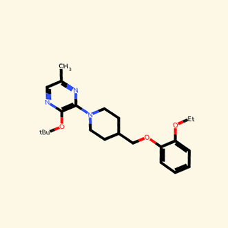 CCOc1ccccc1OCC1CCN(c2nc(C)cnc2OC(C)(C)C)CC1